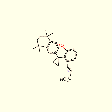 CC1(C)CCC(C)(C)c2cc(C3(c4c(O)cccc4/C=C/C(=O)O)CC3)ccc21